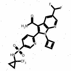 NC(=O)c1c(-c2ccc(S(=O)(=O)NC3(C(F)(F)F)CC3)cn2)n(C2=CC=C2)c2ncc(C(F)F)cc12